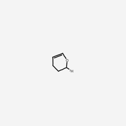 [2H]C1CCC=CO1